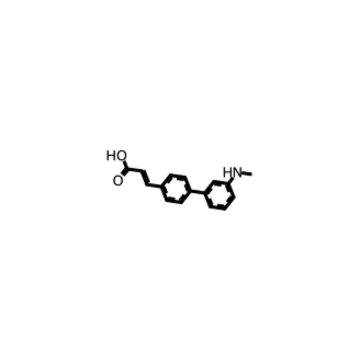 CNc1cccc(-c2ccc(C=CC(=O)O)cc2)c1